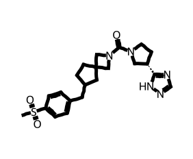 CS(=O)(=O)c1ccc(CC2CCC3(C2)CN(C(=O)N2CC[C@H](c4ncn[nH]4)C2)C3)cc1